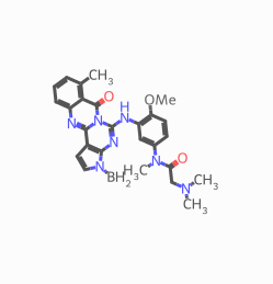 Bn1ccc2c1nc(Nc1cc(N(C)C(=O)CN(C)C)ccc1OC)n1c(=O)c3c(C)cccc3nc21